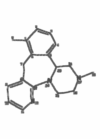 Cc1cccc2c1Cc1cccnc1N1CCN(C)CC21